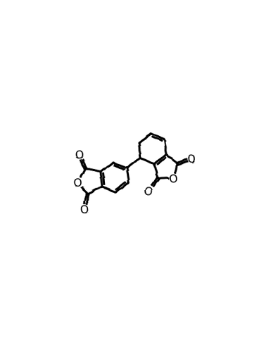 O=C1OC(=O)C2=C1C=CCC2c1ccc2c(c1)C(=O)OC2=O